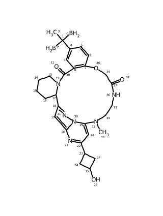 BC(B)(C)c1ccc2c(c1)C(=O)N1CCCCC1c1cc3nc(C4CC(O)C4)cc(n3n1)N(C)CCNC(=O)CO2